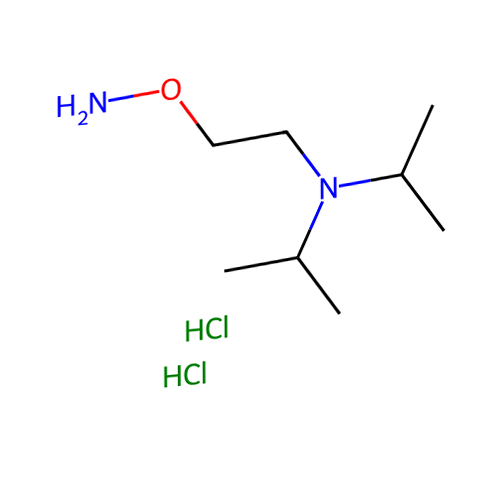 CC(C)N(CCON)C(C)C.Cl.Cl